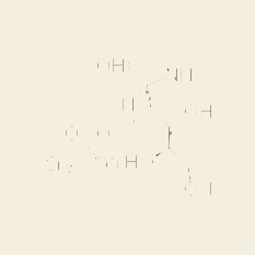 N[C@@H](C=O)[C@@H](O)[C@H](O)[C@H](O)CO.O=S(=O)([O-])[O-].[Sr+2]